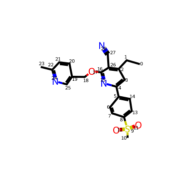 CCc1cc(-c2ccc(S(C)(=O)=O)cc2)nc(OCc2ccc(C)nc2)c1C#N